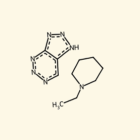 CCN1CCCCC1.c1nnnc2nn[nH]c12